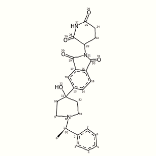 C[C@H](c1ccccc1)N1CCC(O)(c2ccc3c(c2)C(=O)N(C2CCC(=O)NC2=O)C3=O)CC1